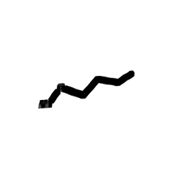 CCCC[O][Mn]